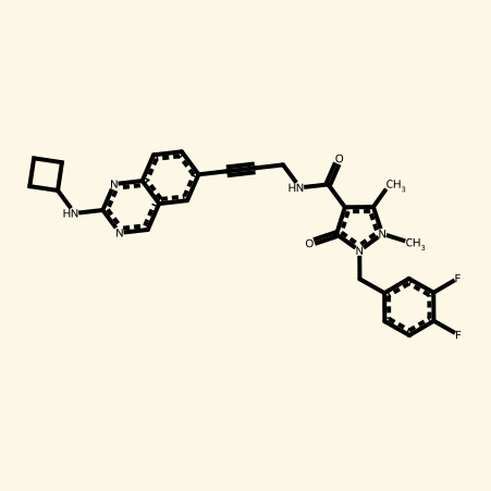 Cc1c(C(=O)NCC#Cc2ccc3nc(NC4CCC4)ncc3c2)c(=O)n(Cc2ccc(F)c(F)c2)n1C